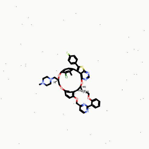 Cc1c2ccc(c1Cl)O[C@H](CN1CCN(C)CC1)COc1ccc(OCc3ccnc(-c4ccccc4OCC(=O)O)n3)c(c1)C[C@H](C(=O)O)Oc1ncnc3sc(-c4ccc(F)cc4)c-2c13